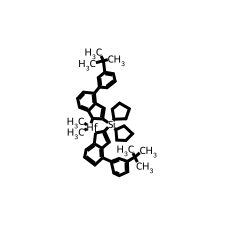 CC(C)(C)c1cccc(-c2cccc3c2C=C2[CH]3[Hf]([CH3])([CH3])[CH]3C(=Cc4c(-c5cccc(C(C)(C)C)c5)cccc43)[Si]2(C2CCCC2)C2CCCC2)c1